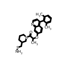 Cc1cccc(C)c1-c1ccnc2cc(OC(C)C(=O)N3CCCC(CSN)C3)ccc12